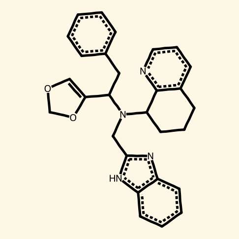 C1=C(C(Cc2ccccc2)N(Cc2nc3ccccc3[nH]2)C2CCCc3cccnc32)OCO1